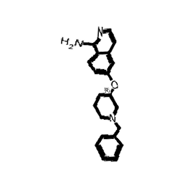 Nc1nccc2cc(O[C@@H]3CCCN(Cc4ccccc4)C3)ccc12